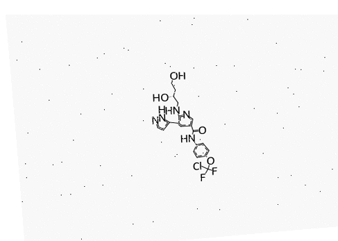 O=C(Nc1ccc(OC(F)(F)Cl)cc1)c1cnc(NC[C@H](O)CCO)c(-c2ccn[nH]2)c1